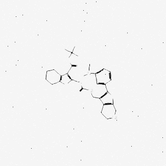 CN(C)c1cccc(-c2sc3c(c2CNC(=O)Nc2sc4c(c2C(=O)OC(C)(C)C)CCCC4)CCNC3)c1